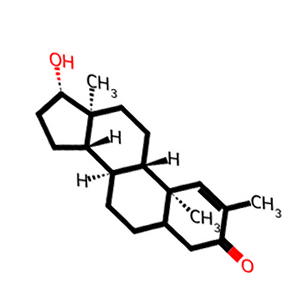 CC1=C[C@@]2(C)C(CC[C@H]3[C@@H]4CC[C@H](O)[C@@]4(C)CC[C@@H]32)CC1=O